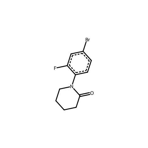 O=C1CCCCN1c1ccc(Br)cc1F